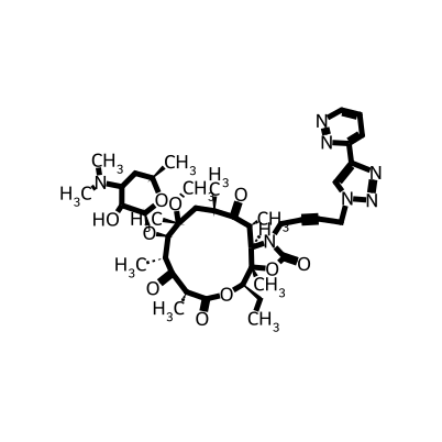 CC[C@H]1OC(=O)[C@H](C)C(=O)[C@H](C)[C@@H](O[C@@H]2O[C@H](C)CC(N(C)C)C2O)[C@](C)(OC)C[C@@H](C)C(=O)[C@H](C)[C@H]2N(CC#CCn3cc(-c4cccnn4)nn3)C(=O)O[C@]12C